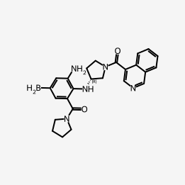 Bc1cc(N)c(N[C@@H]2CCN(C(=O)c3cncc4ccccc34)C2)c(C(=O)N2CCCC2)c1